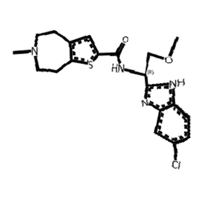 COC[C@H](NC(=O)c1cc2c(s1)CCN(C)CC2)c1nc2cc(Cl)ccc2[nH]1